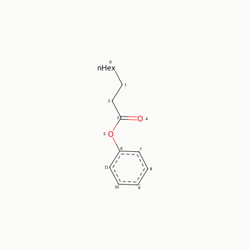 CCCCCCCCC(=O)Oc1cc[c]cc1